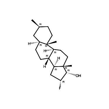 C[C@H]1CC[C@@]2(C)[C@@H](CC[C@@H]3[C@@H]2CC[C@]2(C)[C@H](O)[C@H](F)C[C@@H]32)C1